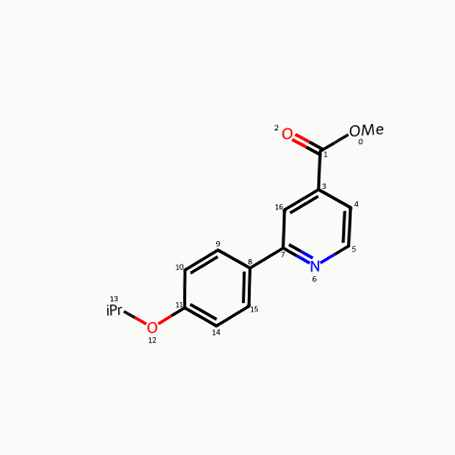 COC(=O)c1ccnc(-c2ccc(OC(C)C)cc2)c1